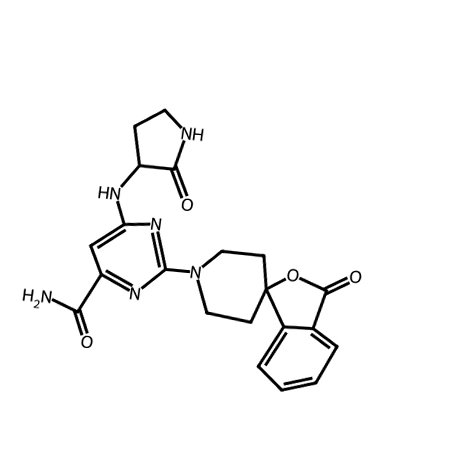 NC(=O)c1cc(NC2CCNC2=O)nc(N2CCC3(CC2)OC(=O)c2ccccc23)n1